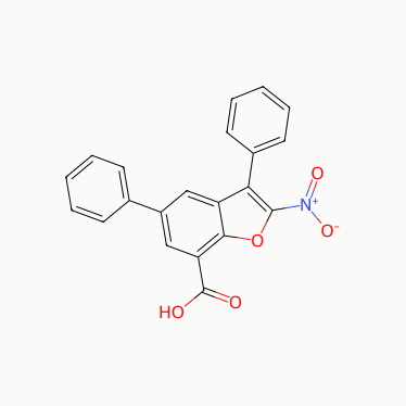 O=C(O)c1cc(-c2ccccc2)cc2c(-c3ccccc3)c([N+](=O)[O-])oc12